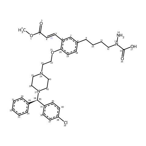 COC(=O)/C=C/c1cc(CCCCN(N)C(=O)O)ccc1OCCN1CCN([C@H](c2ccccc2)c2ccc(Cl)cc2)CC1